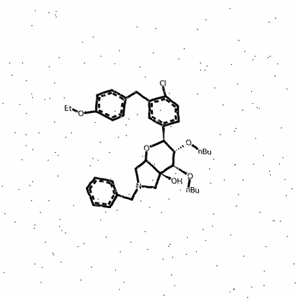 CCCCO[C@@H]1[C@@H](OCCCC)[C@]2(O)CN(Cc3ccccc3)CC2O[C@H]1c1ccc(Cl)c(Cc2ccc(OCC)cc2)c1